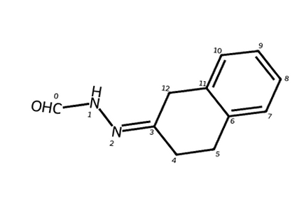 O=CNN=C1CCc2ccccc2C1